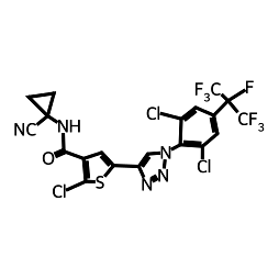 N#CC1(NC(=O)c2cc(-c3cn(-c4c(Cl)cc(C(F)(C(F)(F)F)C(F)(F)F)cc4Cl)nn3)sc2Cl)CC1